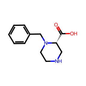 O=C(O)[C@@H]1CNCCN1Cc1ccccc1